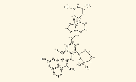 CCc1cccc2cc(O)cc(-c3ncc4c(N5CCOC[C@@](C)(O)C5)nc(OC[C@]56CCC[C@H]5N(C5C[C@@H](C)O[C@@H](C)C5)CCC6)nc4c3F)c12